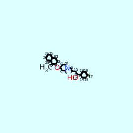 Cc1c(OC2CCN(CCCC(O)c3ccc(F)cc3)CC2)ccc2ccccc12